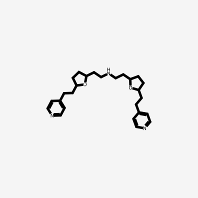 c1cc(CCC2CCC(CCNCCC3CCC(CCc4ccncc4)O3)O2)ccn1